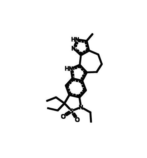 CCN1c2cc3c4c([nH]c3cc2C(CC)(CC)S1(=O)=O)-c1n[nH]c(C)c1CCC4